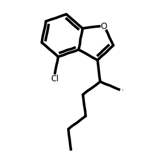 [CH2]C(CCCC)c1coc2cccc(Cl)c12